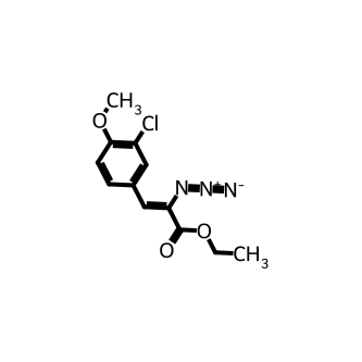 CCOC(=O)/C(=C/c1ccc(OC)c(Cl)c1)N=[N+]=[N-]